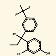 CCC(O)(c1cccc(C(F)(F)F)c1)c1ccc(O)cc1O